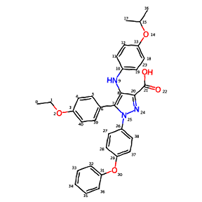 CCOc1ccc(-c2c(Nc3ccc(OC(C)C)cc3)c(C(=O)O)nn2-c2ccc(Oc3ccccc3)cc2)cc1